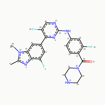 Cc1nc2c(F)cc(-c3nc(Nc4ccc(C(=O)N5CCNCC5)c(F)c4)ncc3F)cc2n1C(C)C